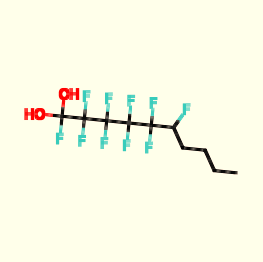 CCCCC(F)C(F)(F)C(F)(F)C(F)(F)C(F)(F)C(O)(O)F